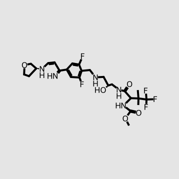 COC(=O)NC(C(=O)NC[C@@H](O)CNCc1c(F)cc(C(=N)/C=C\N[C@@H]2CCOC2)cc1F)C(C)(C)C(F)(F)F